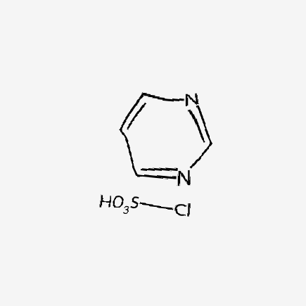 O=S(=O)(O)Cl.c1cncnc1